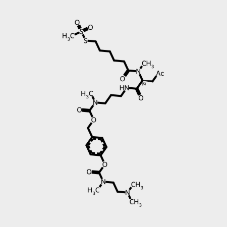 CC(=O)C[C@@H](C(=O)NCCCN(C)C(=O)OCc1ccc(OC(=O)N(C)CCN(C)C)cc1)N(C)C(=O)CCCCCSS(C)(=O)=O